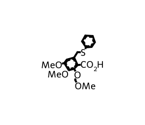 COCOc1c(OC)c(OC)cc(CSc2ccccc2)c1C(=O)O